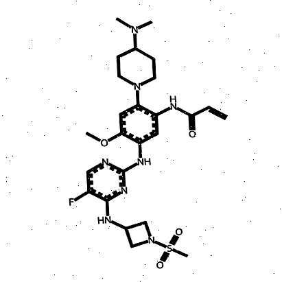 C=CC(=O)Nc1cc(Nc2ncc(F)c(NC3CN(S(C)(=O)=O)C3)n2)c(OC)cc1N1CCC(N(C)C)CC1